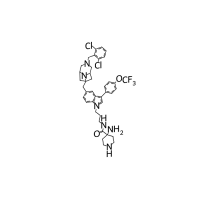 NC1(C(=O)NCCCn2cc(-c3ccc(OC(F)(F)F)cc3)c3cc(CC45CC6CN(Cc7c(Cl)cccc7Cl)CC(C4)N65)ccc32)CCNCC1